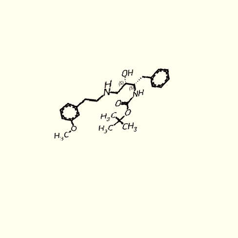 COc1cccc(CCNC[C@H](O)[C@H](Cc2ccccc2)NC(=O)OC(C)(C)C)c1